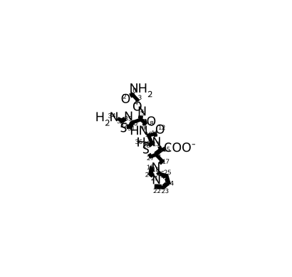 NC(=O)CO/N=C(/C(=O)N[C@@H]1C(=O)N2C(C(=O)[O-])=C(Cn3cc[n+]4ccccc34)CS[C@H]12)c1csc(N)n1